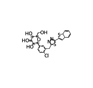 OC[C@H]1O[C@@H](c2ccc(Cl)c(Cc3nnc(C4=CC5C=CC=CC5S4)s3)c2)[C@H](O)[C@@H](O)[C@@H]1O